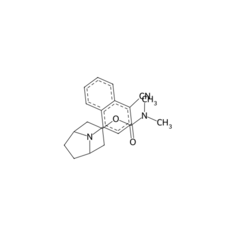 CN(C)C(=O)OC1CC2CCC(C1)N2c1ccc(C#N)c2ccccc12